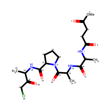 COC(=O)CCC(=O)NC(C)C(=O)NC(C)C(=O)N1CCCC1C(=O)NC(C)C(=O)CCl